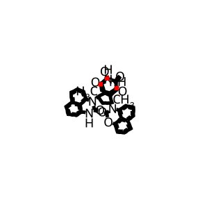 CC(CC(C)(C1CCC(=O)NC1=O)N1C(=O)Oc2cccc3cccc1c23)(C1CCC(=O)NC1=O)N1C(=O)Nc2cccc3cccc1c23